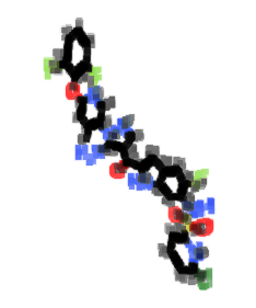 Cc1cc(Oc2c(F)cccc2F)ncc1-n1ncc(C(=O)c2cc3cc(F)c(NS(=O)(=O)c4cccc(Cl)n4)cc3[nH]2)c1N